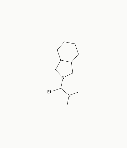 CCC(N(C)C)N1CC2CCCCC2C1